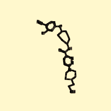 N#Cc1ccc(OC2CCC(NC(=O)c3ccc(N4CCC(CCO)CC4)nn3)CC2)cc1Cl